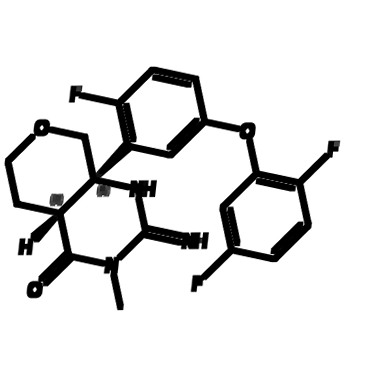 CN1C(=N)N[C@@]2(c3cc(Oc4cc(F)ccc4F)ccc3F)COCC[C@H]2C1=O